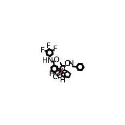 CC(CON(C)Cc1ccccc1)C(C)[C@]1(O)CC2CC[C@H](C1)C2S(=O)(=O)c1cc(C(=O)Nc2cc(F)c(F)c(F)c2)ccc1Cl